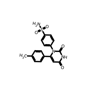 Cc1ccc(-c2cc(=O)[nH]c(=O)n2-c2ccc(S(N)(=O)=O)cc2)cc1